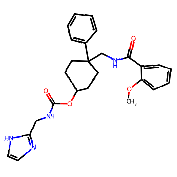 COc1ccccc1C(=O)NCC1(c2ccccc2)CCC(OC(=O)NCc2ncc[nH]2)CC1